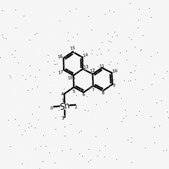 [CH3][Sn]([CH3])([CH3])[CH2]c1cc2ccccc2c2ccccc12